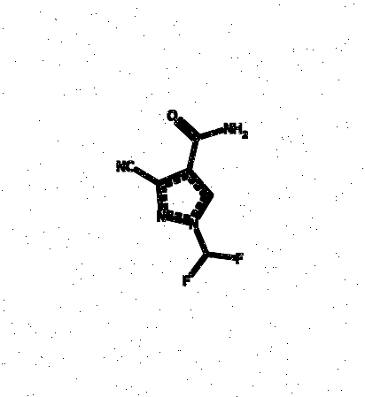 N#Cc1nn(C(F)F)cc1C(N)=O